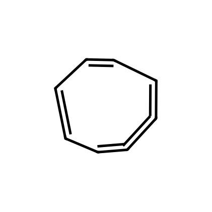 C1=C=CC=CC=CC=1